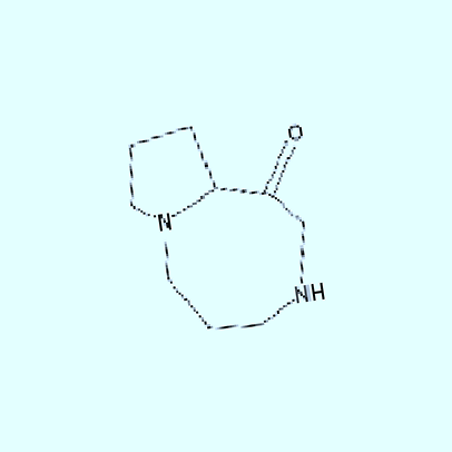 O=C1CNCCCN2CCCC12